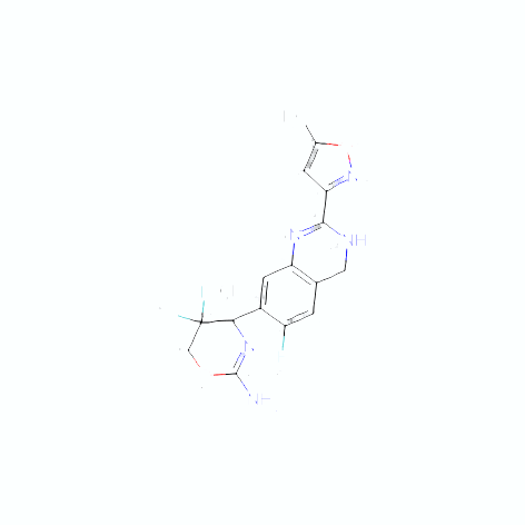 Cc1cc(C2=Nc3cc([C@@]4(C)N=C(N)OCC4(F)F)c(F)cc3CN2)no1